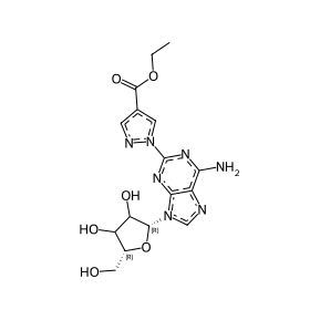 CCOC(=O)c1cnn(-c2nc(N)c3ncn([C@@H]4O[C@H](CO)C(O)C4O)c3n2)c1